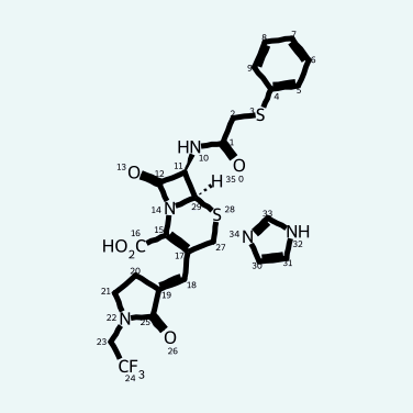 O=C(CSc1ccccc1)N[C@@H]1C(=O)N2C(C(=O)O)=C(C=C3CCN(CC(F)(F)F)C3=O)CS[C@H]12.c1c[nH]cn1